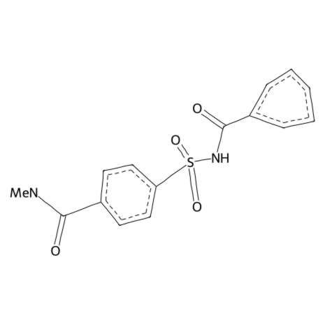 CNC(=O)c1ccc(S(=O)(=O)NC(=O)c2ccccc2)cc1